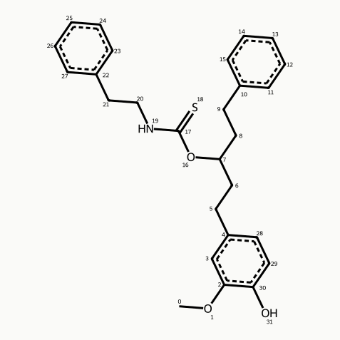 COc1cc(CCC(CCc2ccccc2)OC(=S)NCCc2ccccc2)ccc1O